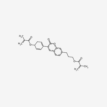 C=C(C)C(=O)OCCCc1ccc2cc(C3=CCC(OC(=O)C(=C)C)C=C3)c(=O)oc2c1